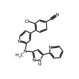 CN(c1cc(-c2ccc(C#N)cc2Cl)ccn1)c1cc(-c2ccccn2)[nH]n1